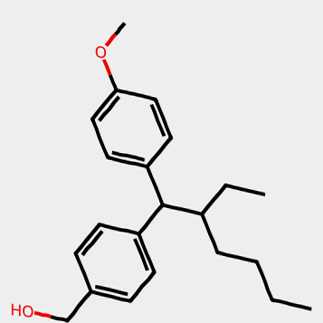 CCCCC(CC)C(c1ccc(CO)cc1)c1ccc(OC)cc1